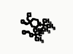 CC(C)(C)N1CCC(C=O)(CCl)CC1.CC(C)(C)OC=O